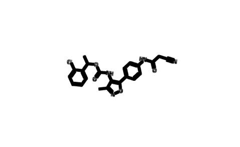 Cc1noc(-c2ccc(NC(=O)CC#N)cc2)c1NC(=O)OC(C)c1ccccc1Cl